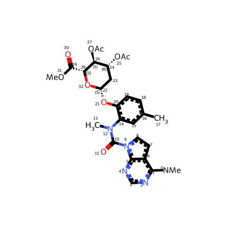 CNc1ncnc2c1ccn2C(=O)N(C)c1cc(C)ccc1O[C@H]1C[C@@H](OC(C)=O)[C@H](OC(C)=O)[C@@H](C(=O)OC)O1